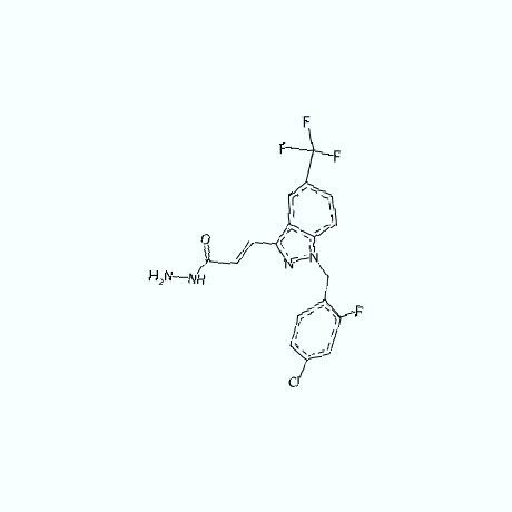 NNC(=O)/C=C/c1nn(Cc2ccc(Cl)cc2F)c2ccc(C(F)(F)F)cc12